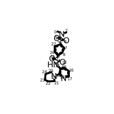 CN(C)S(=O)(=O)c1ccc(S(=O)(=O)Nc2cccnc2N2CCCCC2)cc1